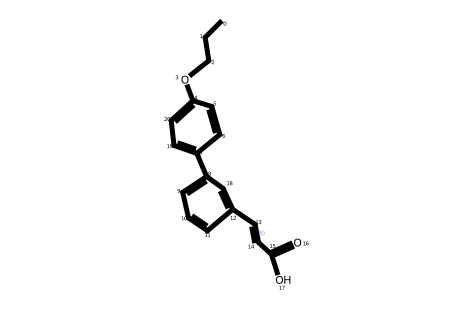 CCCOc1ccc(-c2cccc(/C=C/C(=O)O)c2)cc1